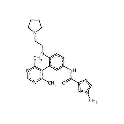 Cc1ncnc(C)c1-c1cc(NC(=O)c2ccn(C)n2)ccc1OCCN1CCCC1